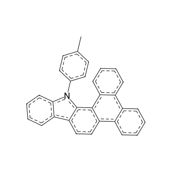 Cc1ccc(-n2c3ccccc3c3ccc4c5ccccc5c5ccccc5c4c32)cc1